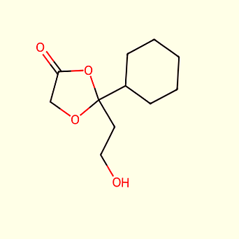 O=C1COC(CCO)(C2CCCCC2)O1